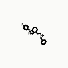 CN(CCC1CCCc2c1cnn2-c1ccc(F)cc1)Cc1ccccc1